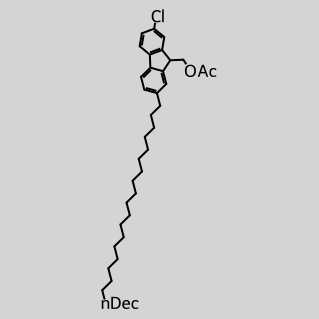 CCCCCCCCCCCCCCCCCCCCCCCCCCCCc1ccc2c(c1)C(COC(C)=O)c1cc(Cl)ccc1-2